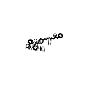 Cl.Cl.O=C(CCNCCCC1CCN(CC(=O)N2c3ccccc3C(=O)Nc3cccnc32)CC1)Cc1ccccc1